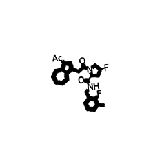 CC(=O)c1cc(CC(=O)N2C[C@H](F)C[C@H]2C(=O)NCc2cccc(C)c2F)c2cccccc1-2